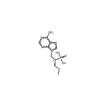 COC[C@@H](Cn1cnc2c(N)ncnc21)P(=O)(O)O